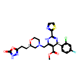 COC(=O)C1=C(CN2CCO[C@H](CCc3n[nH]c(=O)o3)C2)NC(c2nccs2)=N[C@H]1c1ccc(F)cc1Cl